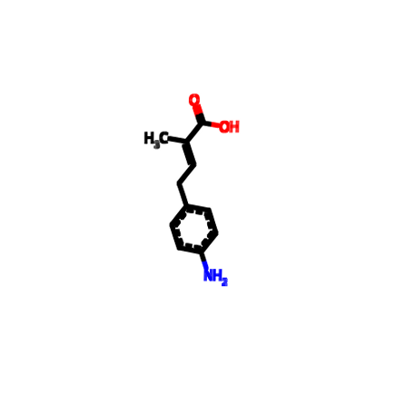 C/C(=C\Cc1ccc(N)cc1)C(=O)O